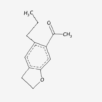 CCCc1cc2c(cc1C(C)=O)OCC2